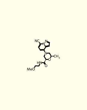 COCCNC(=O)[C@H]1CN(c2ccc(C#N)n3nccc23)C[C@@H](C)O1